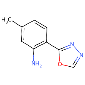 Cc1ccc(-c2nnco2)c(N)c1